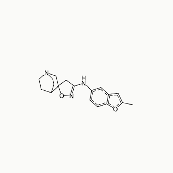 Cc1cc2cc(NC3=NOC4(C3)CN3CCC4CC3)ccc2o1